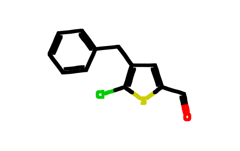 O=Cc1cc(Cc2ccccc2)c(Cl)s1